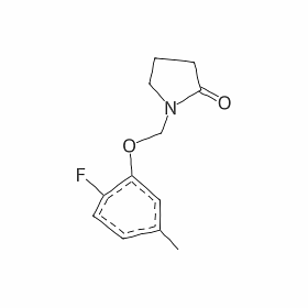 Cc1ccc(F)c(OCN2CCCC2=O)c1